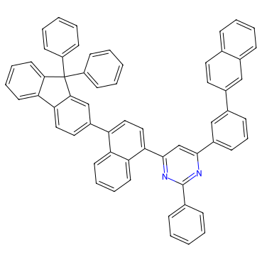 c1ccc(-c2nc(-c3cccc(-c4ccc5ccccc5c4)c3)cc(-c3ccc(-c4ccc5c(c4)C(c4ccccc4)(c4ccccc4)c4ccccc4-5)c4ccccc34)n2)cc1